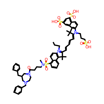 CCC[N+]1=C(/C=C/C=C/C=C2/N(CCCS(=O)(=O)O)c3ccc4c(S(=O)(=O)O)cc(S(=O)(=O)O)cc4c3C2(C)C)C(C)(C)c2c1ccc1c(S(=O)(=O)N(C)CCCC(=O)N3CCN(Cc4ccccc4)CC(Cc4ccccc4)C3)cccc21